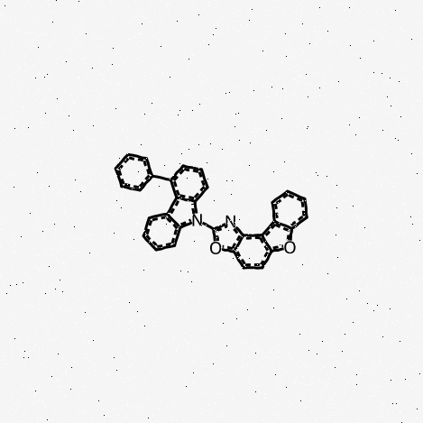 c1ccc(-c2cccc3c2c2ccccc2n3-c2nc3c(ccc4oc5ccccc5c43)o2)cc1